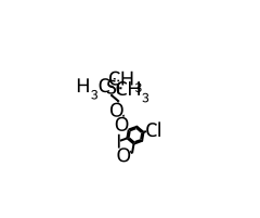 C[Si](C)(C)CCOCOc1cc(Cl)cc(C=O)c1I